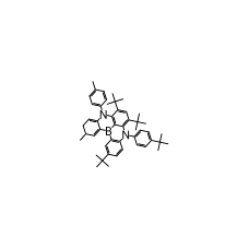 Cc1ccc(N2C3=CCC(C)C=C3B3c4cc(C(C)(C)C)ccc4N(c4ccc(C(C)(C)C)cc4)c4c(C(C)(C)C)cc(C(C)(C)C)c2c43)cc1